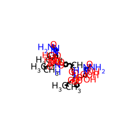 CC(C)CCOC(=O)[C@H](CC(=O)OCCC(C)Cc1ccc(OP(=O)(N[C@@H](CC(=O)OCC(C)C)C(=O)OCC(C)C)OC[C@H]2O[C@@H](n3cnc(C(N)=O)n3)[C@H](O)[C@@H]2O)cc1)NP(=O)(OC[C@H]1O[C@@H](n2cnc(C(N)=O)c2O)[C@H](O)[C@@H]1O)Oc1ccccc1